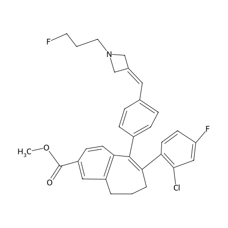 COC(=O)c1ccc2c(c1)CCCC(c1ccc(F)cc1Cl)=C2c1ccc(C=C2CN(CCCF)C2)cc1